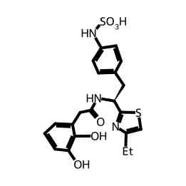 CCc1csc([C@H](Cc2ccc(NS(=O)(=O)O)cc2)NC(=O)Cc2cccc(O)c2O)n1